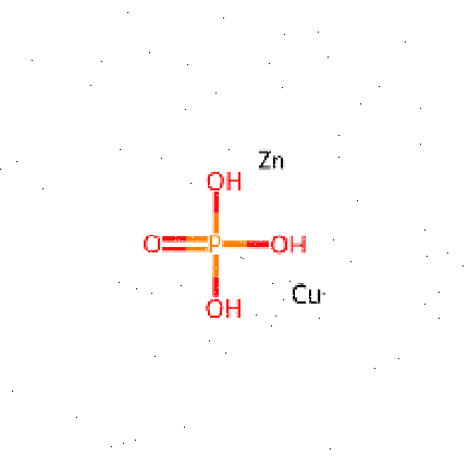 O=P(O)(O)O.[Cu].[Zn]